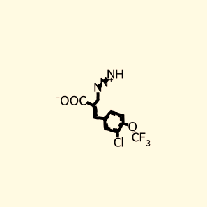 N=[N+]=NCC(=Cc1ccc(OC(F)(F)F)c(Cl)c1)C(=O)[O-]